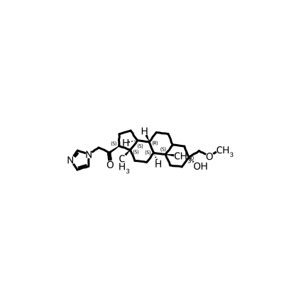 COC[C@@]1(O)CC[C@@]2(C)C(CC[C@H]3[C@@H]4CC[C@H](C(=O)Cn5ccnc5)[C@@]4(C)CC[C@@H]32)C1